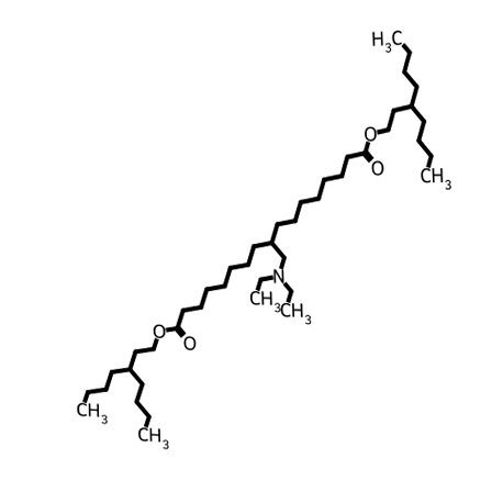 CCCCC(CCCC)CCOC(=O)CCCCCCCC(CCCCCCCC(=O)OCCC(CCCC)CCCC)CN(CC)CC